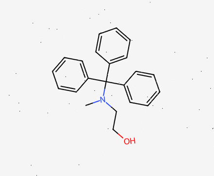 CN(CCO)C(c1ccccc1)(c1ccccc1)c1ccccc1